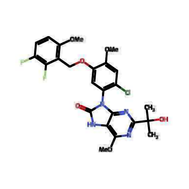 COc1cc(Cl)c(-n2c(=O)[nH]c3c(OC)nc(C(C)(C)O)nc32)cc1OCc1c(OC)ccc(F)c1F